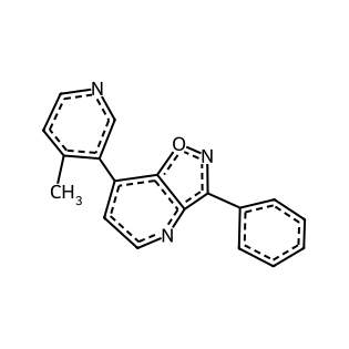 Cc1ccncc1-c1ccnc2c(-c3ccccc3)noc12